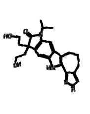 CC(C)N1C(=O)C(CCO)(CCO)c2cc3[nH]c4c(c3cc21)CCCc1c[nH]nc1-4